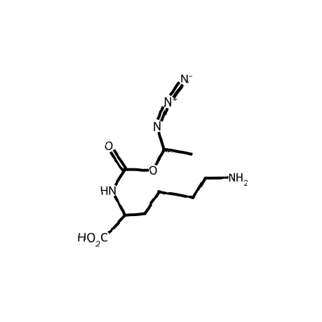 CC(N=[N+]=[N-])OC(=O)NC(CCCCN)C(=O)O